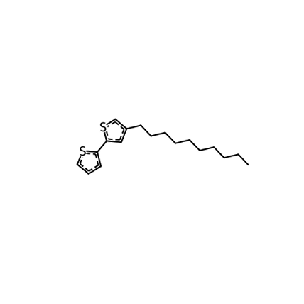 CCCCCCCCCCc1csc(-c2cccs2)c1